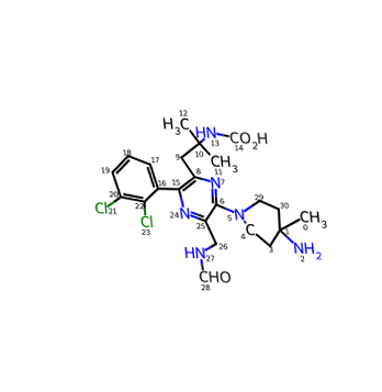 CC1(N)CCN(c2nc(CC(C)(C)NC(=O)O)c(-c3cccc(Cl)c3Cl)nc2CNC=O)CC1